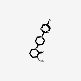 CCc1cnc(N2CCC(N3CCC[C@H](NC)C3=O)CC2)nc1